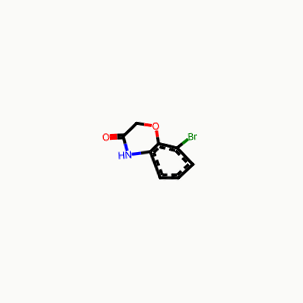 O=C1COc2c(Br)cccc2N1